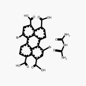 NC(=O)NC(N)=O.O=C(O)c1ccc2c3c(Br)cc(C(=O)O)c4c(C(=O)O)ccc(c5c(Br)cc(C(=O)O)c1c25)c43